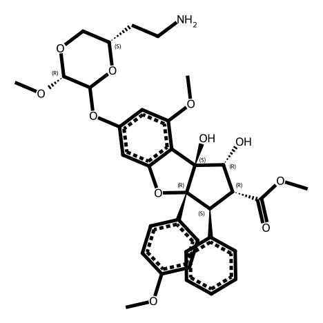 COC(=O)[C@H]1[C@@H](O)[C@@]2(O)c3c(OC)cc(OC4O[C@@H](CCN)CO[C@H]4OC)cc3O[C@@]2(c2ccc(OC)cc2)[C@@H]1c1ccccc1